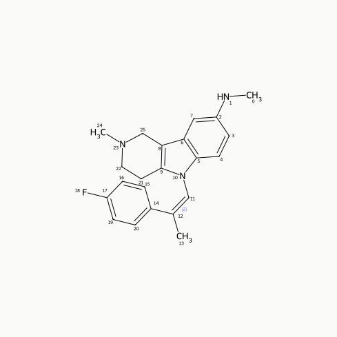 CNc1ccc2c(c1)c1c(n2/C=C(/C)c2ccc(F)cc2)CCN(C)C1